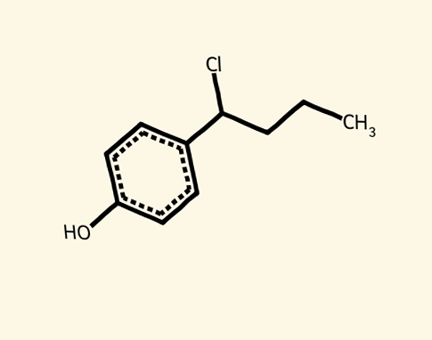 CCCC(Cl)c1ccc(O)cc1